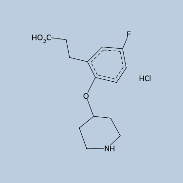 Cl.O=C(O)CCc1cc(F)ccc1OC1CCNCC1